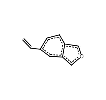 C=Cc1ccc2[c]occ2c1